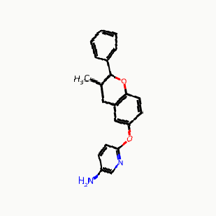 CC1Cc2cc(Oc3ccc(N)cn3)ccc2OC1c1ccccc1